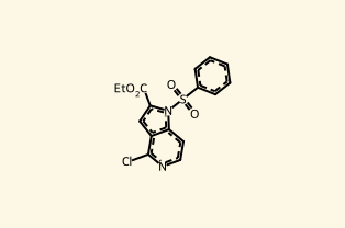 CCOC(=O)c1cc2c(Cl)nccc2n1S(=O)(=O)c1ccccc1